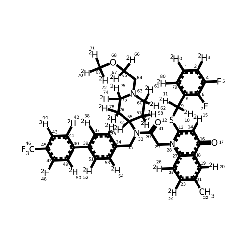 [2H]c1c([2H])c(F)c(F)c(C([2H])([2H])Sc2c([2H])c(=O)c3c([2H])c(C)c([2H])c([2H])c3n2CC(=O)N(Cc2c([2H])c([2H])c(-c3c([2H])c([2H])c(C(F)(F)F)c([2H])c3[2H])c([2H])c2[2H])C2([2H])C([2H])([2H])C([2H])([2H])N(CC([2H])([2H])OC([2H])([2H])[2H])C([2H])([2H])C2([2H])[2H])c1[2H]